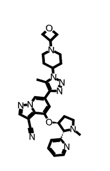 Cc1c(-c2cc(O[C@H]3CCN(C)[C@@H]3c3ccccn3)c3c(C#N)cnn3c2)nnn1C1CCN(C2COC2)CC1